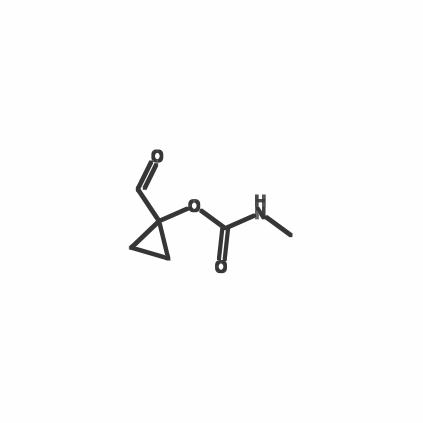 CNC(=O)OC1(C=O)CC1